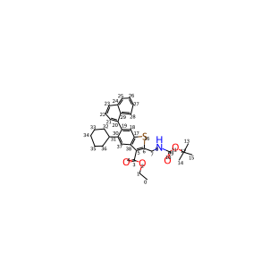 CCOC(=O)c1c(CNC(=O)OC(C)(C)C)sc2cc(-c3cccc4ccccc34)c(C3CCCCC3)cc12